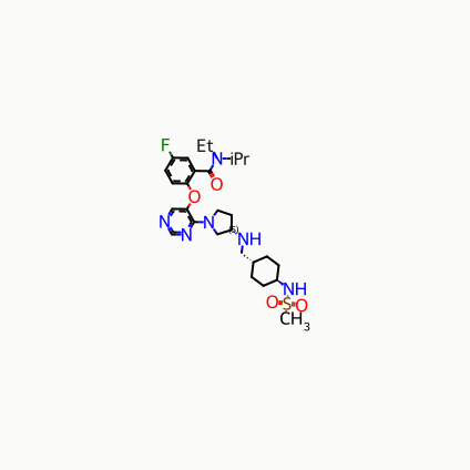 CCN(C(=O)c1cc(F)ccc1Oc1cncnc1N1CC[C@H](NC[C@H]2CC[C@H](NS(C)(=O)=O)CC2)C1)C(C)C